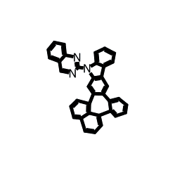 c1ccc2c(c1)-c1cc3c4ccccc4n(-c4ncc5ccccc5n4)c3cc1-c1cccc3cccc-2c13